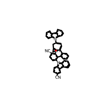 Cc1c(C#N)ccc(-n2c3ccc#cc3c3cc(C#N)ccc32)c1-c1ccccc1C1=CC=C(n2c3ccccc3c3ccccc32)CC2=C1C2